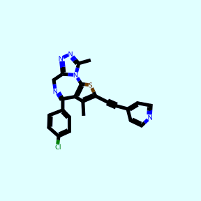 Cc1c(C#Cc2ccncc2)sc2c1C(c1ccc(Cl)cc1)=NCc1nnc(C)n1-2